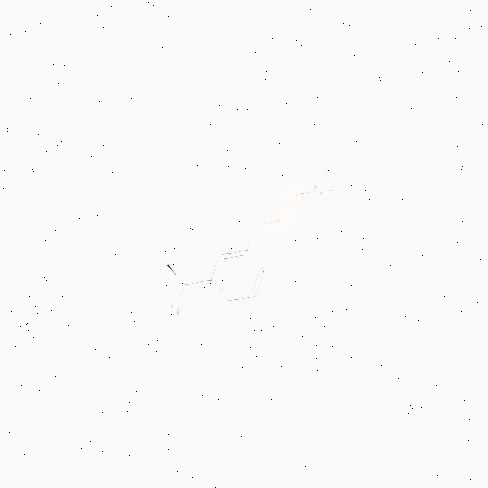 CNOOSc1cccc([C@H](C)N)c1